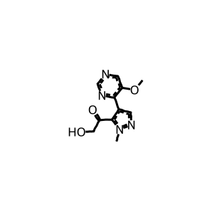 COc1cncnc1-c1cnn(C)c1C(=O)CO